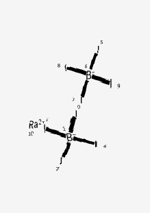 I[B-](I)(I)I.I[B-](I)(I)I.[Ra+2]